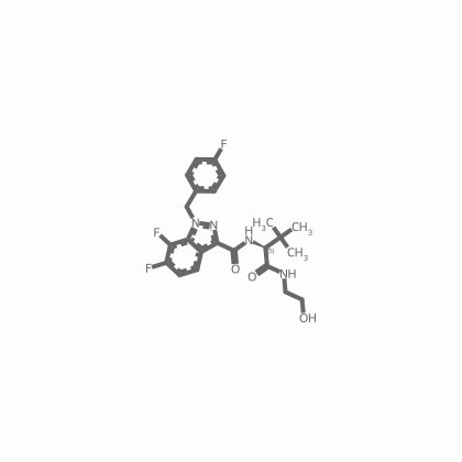 CC(C)(C)[C@H](NC(=O)c1nn(Cc2ccc(F)cc2)c2c(F)c(F)ccc12)C(=O)NCCO